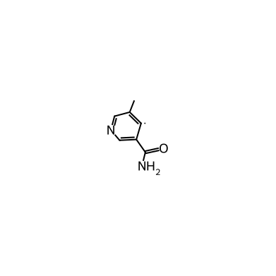 Cc1[c]c(C(N)=O)cnc1